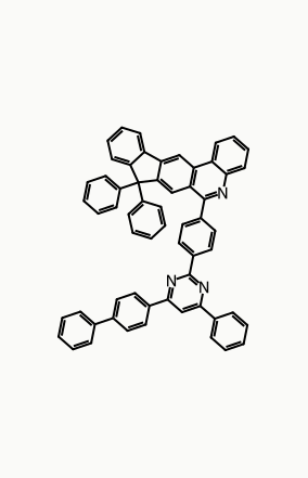 c1ccc(-c2ccc(-c3cc(-c4ccccc4)nc(-c4ccc(-c5nc6ccccc6c6cc7c(cc56)C(c5ccccc5)(c5ccccc5)c5ccccc5-7)cc4)n3)cc2)cc1